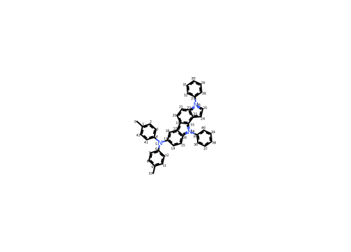 Cc1ccc(N(c2ccc(C)cc2)c2ccc3c(c2)c2ccc4c(ccn4-c4ccccc4)c2n3-c2ccccc2)cc1